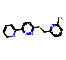 Cc1cccc(CSc2ccc(C3=CC=CCN3)nn2)n1